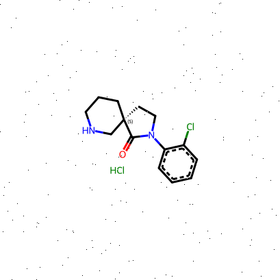 Cl.O=C1N(c2ccccc2Cl)CC[C@]12CCCNC2